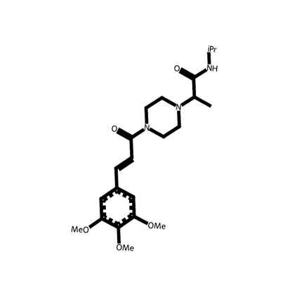 COc1cc(C=CC(=O)N2CCN(C(C)C(=O)NC(C)C)CC2)cc(OC)c1OC